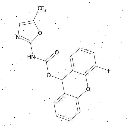 O=C(Nc1ncc(C(F)(F)F)o1)OC1c2ccccc2Oc2c(F)cccc21